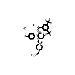 CCN1CC[N+]([O-])(C[C@@H]2CCO[C@H](O[C@H](C)c3cc(C(F)(F)F)cc(C(F)(F)F)c3)[C@H]2c2ccc(F)cc2)CC1.Cl